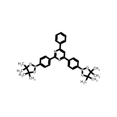 CC1(C)OB(c2ccc(-c3cc(-c4ccccc4)nc(-c4ccc(B5OC(C)(C)C(C)(C)O5)cc4)n3)cc2)OC1(C)C